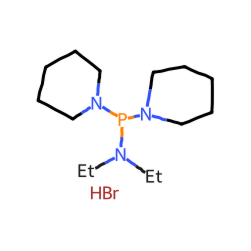 Br.CCN(CC)P(N1CCCCC1)N1CCCCC1